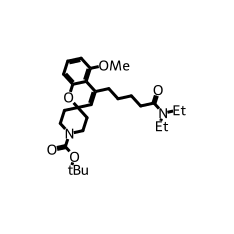 CCN(CC)C(=O)CCCCC1=CC2(CCN(C(=O)OC(C)(C)C)CC2)Oc2cccc(OC)c21